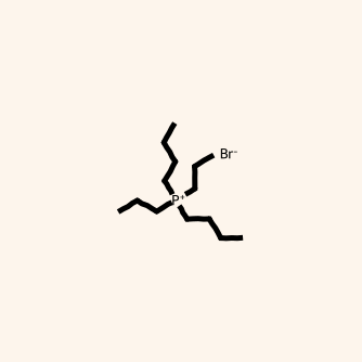 CCCC[P+](CCC)(CCC)CCCC.[Br-]